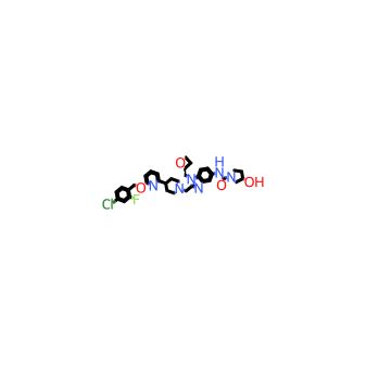 O=C(Nc1ccc2c(c1)nc(CN1CCC(c3cccc(OCc4ccc(Cl)cc4F)n3)CC1)n2C[C@@H]1CCO1)N1CCC(O)C1